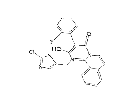 O=c1c(-c2ccccc2F)c(O)[n+](Cc2cnc(Cl)s2)c2c3ccccc3ccn12